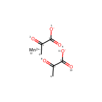 CC(=O)C(=O)[O-].CC(=O)C(=O)[O-].[Mn+2]